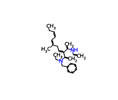 C=CNC(=C)/C(=C\C/C(C)=C\C=C/CC)C(=C)N(CC)Cc1ccccc1